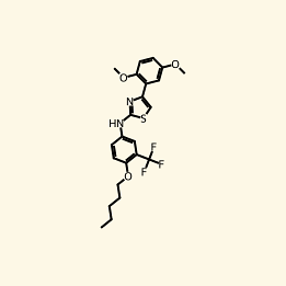 CCCCCOc1ccc(Nc2nc(-c3cc(OC)ccc3OC)cs2)cc1C(F)(F)F